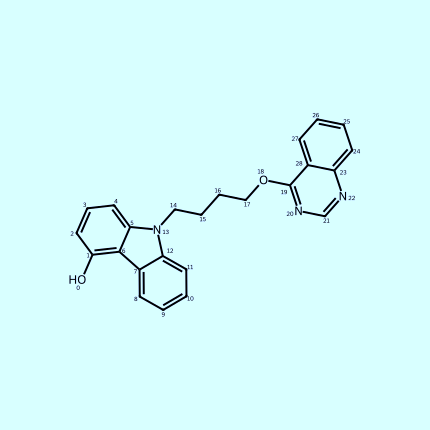 Oc1cccc2c1c1ccccc1n2CCCCOc1ncnc2ccccc12